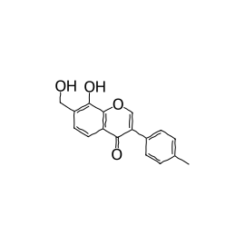 Cc1ccc(-c2coc3c(O)c(CO)ccc3c2=O)cc1